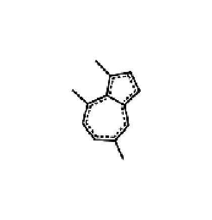 Cc1ccc(C)c2c(C)ccc-2c1